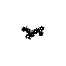 C=Cc1c(/C=C\C)n(-c2ccc3oc4ccccc4c3c2)c2c1ccc1c3cc4c(cc3oc12)nc(-c1ccccc1)n4-c1ccccc1